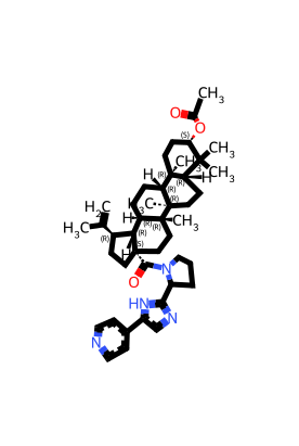 C=C(C)[C@@H]1CC[C@]2(C(=O)N3CCCC3c3ncc(-c4ccncc4)[nH]3)CC[C@]3(C)[C@H](CC[C@@H]4[C@@]5(C)CC[C@H](OC(C)=O)C(C)(C)[C@@H]5CC[C@]43C)[C@@H]12